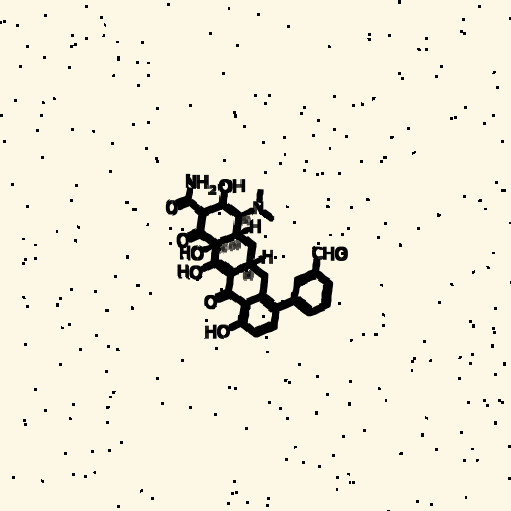 CN(C)[C@@H]1C(O)C(C(N)=O)C(=O)[C@@]2(O)C(O)=C3C(=O)c4c(O)ccc(-c5cccc(C=O)c5)c4C[C@H]3C[C@@H]12